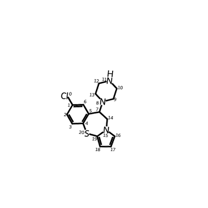 Clc1ccc2c(c1)C(N1CCNCC1)Cn1cccc1S2